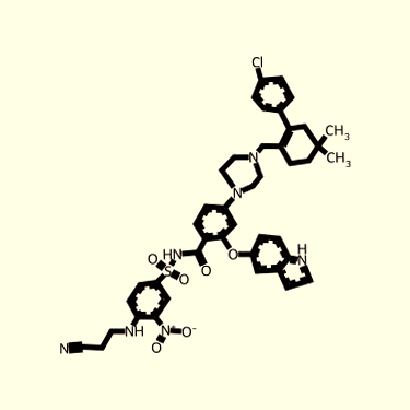 CC1(C)CCC(CN2CCN(c3ccc(C(=O)NS(=O)(=O)c4ccc(NCCC#N)c([N+](=O)[O-])c4)c(Oc4ccc5[nH]ccc5c4)c3)CC2)=C(c2ccc(Cl)cc2)C1